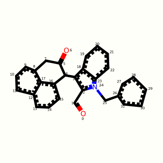 O=Cc1c(C2C(=O)Cc3cccc4cccc2c34)c2ccccc2n1Cc1ccccc1